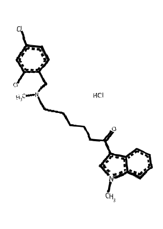 CN(CCCCCC(=O)c1cn(C)c2ccccc12)Cc1ccc(Cl)cc1Cl.Cl